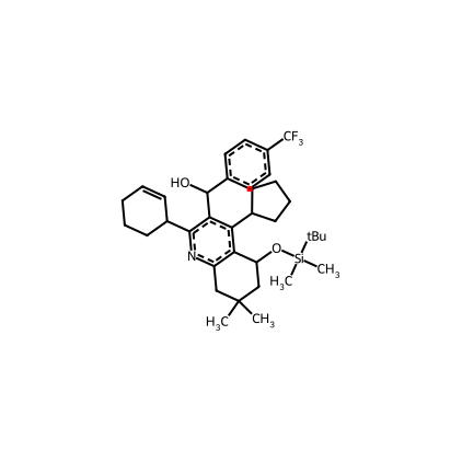 CC1(C)Cc2nc(C3C=CCCC3)c(C(O)c3ccc(C(F)(F)F)cc3)c(C3CCCC3)c2C(O[Si](C)(C)C(C)(C)C)C1